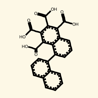 O=C(O)c1c(C(=O)O)c(C(=O)O)c2c(-c3cccc4ccccc34)cccc2c1C(=O)O